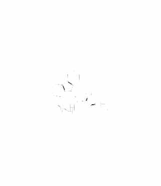 C=CC(=O)[O][Ti+2][CH]1C2=C(CCCC2)C2=C1CCCC2.C[O-].C[O-]